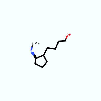 CON=C1CCCC1CCCCO